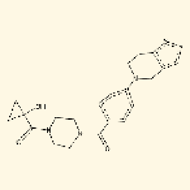 O=C(c1ccc(N2CCc3sccc3C2)cc1)N1CCN(C(=O)C2(O)CC2)CC1